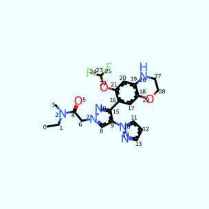 CCN(C)C(=O)Cn1cc(-n2cccn2)c(-c2cc3c(cc2OC(F)F)NCCO3)n1